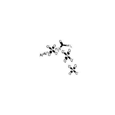 NC(N)=O.O=S(=O)([O-])[O-].O=S(=O)([O-])[O-].O=S(=O)([O-])[O-].[Al+3].[Al+3]